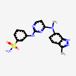 Cc1n[nH]c2cc(N(C)c3ccnc(Nc4cccc(S(N)(=O)=O)c4)n3)ccc12